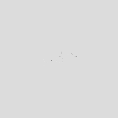 CC1(N)CN(c2cc(F)c(C3CCC(=O)NC3=O)c(F)c2)C1